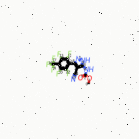 COC(=O)Nc1[nH]nc(-c2c(F)c(F)c(C(F)(F)F)c(F)c2F)c1C#N